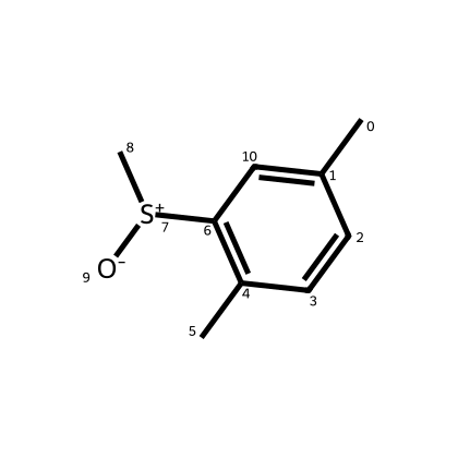 Cc1ccc(C)c([S+](C)[O-])c1